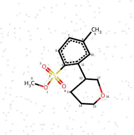 COS(=O)(=O)c1ccc(C)cc1C1CCCOC1